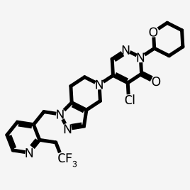 O=c1c(Cl)c(N2CCc3c(cnn3Cc3cccnc3CC(F)(F)F)C2)cnn1C1CCCCO1